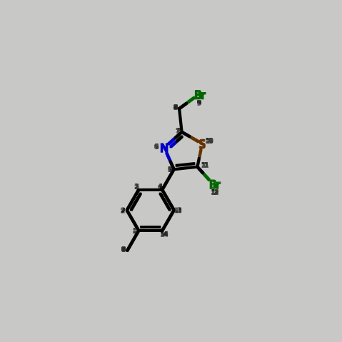 Cc1ccc(-c2nc(CBr)sc2Br)cc1